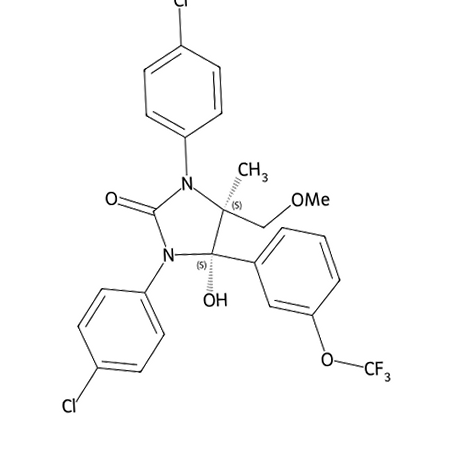 COC[C@]1(C)N(c2ccc(Cl)cc2)C(=O)N(c2ccc(Cl)cc2)[C@]1(O)c1cccc(OC(F)(F)F)c1